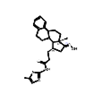 Cc1cnc(NC(=O)CC[C@@H]2C/C(=N\O)[C@@]3(C)CCC4c5ccccc5CCC4C23)s1